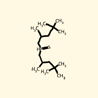 CC(C[PH](=S)CC(C)CC(C)(C)C)CC(C)(C)C